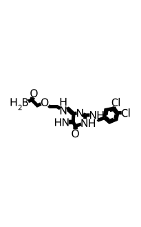 BC(=O)COCCN/C=C1/N=C(NCc2ccc(Cl)c(Cl)c2)NC(=O)C1=N